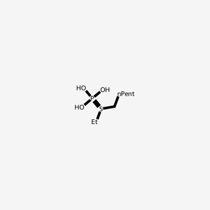 CCCCCCS(CC)=P(O)(O)O